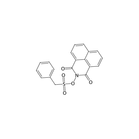 O=C1c2cccc3cccc(c23)C(=O)N1OS(=O)(=O)Cc1ccccc1